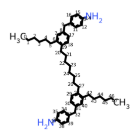 CCCCCCc1cc(Cc2ccc(N)cc2)ccc1CCCCCCCCc1ccc(Cc2ccc(N)cc2)cc1CCCCCC